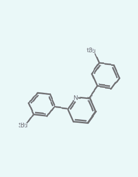 CC(C)(C)c1cccc(-c2cccc(-c3cccc(C(C)(C)C)c3)n2)c1